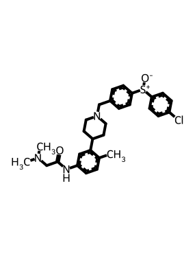 Cc1ccc(NC(=O)CN(C)C)cc1C1CCN(Cc2ccc([S+]([O-])c3ccc(Cl)cc3)cc2)CC1